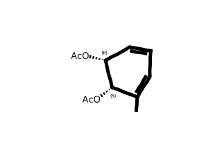 CC(=O)O[C@@H]1C=CC=C(C)[C@@H]1OC(C)=O